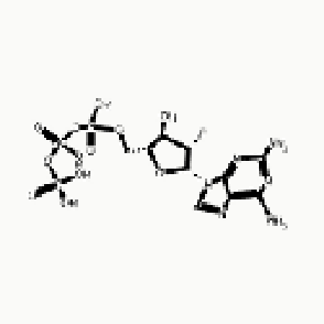 Nc1nc(N)c2ncn([C@@H]3O[C@H](COP(=O)(O)OP(=O)(O)OP(=O)(O)O)[C@@H](O)[C@@H]3F)c2n1